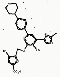 Cc1nc(-c2cc(-c3ccc(N4CCOCC4)cc3)nc(OCc3sc(C(=O)O)cc3Br)c2C#N)co1